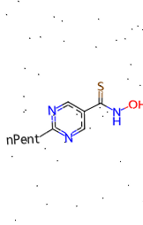 CCCCCc1ncc(C(=S)NO)cn1